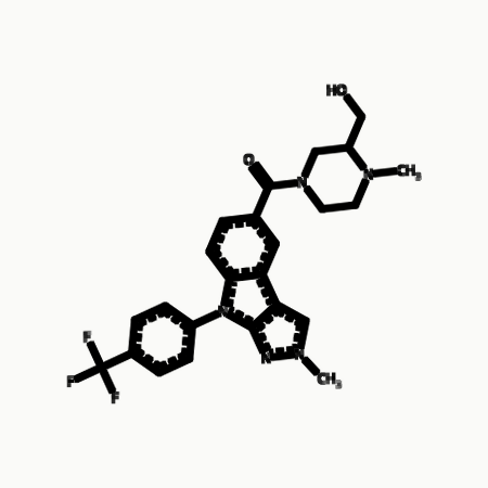 CN1CCN(C(=O)c2ccc3c(c2)c2cn(C)nc2n3-c2ccc(C(F)(F)F)cc2)CC1CO